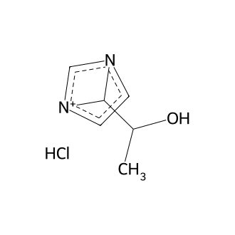 CC(O)C1n2cc[n+]1c2.Cl